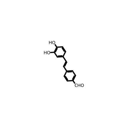 O=Cc1ccc(C=Cc2ccc(O)c(O)c2)cc1